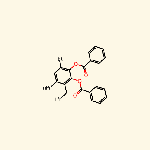 CCCc1cc(CC)c(OC(=O)c2ccccc2)c(OC(=O)c2ccccc2)c1CC(C)C